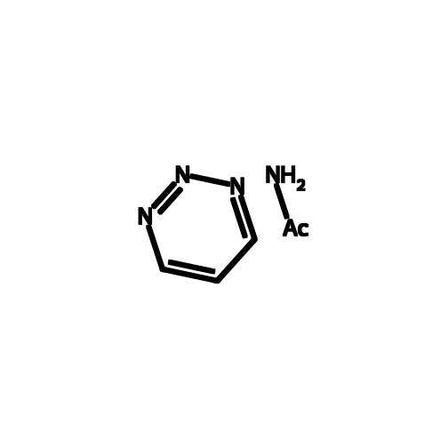 CC(N)=O.c1cnnnc1